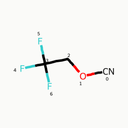 N#COCC(F)(F)F